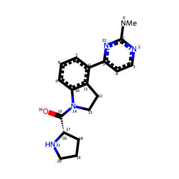 CNc1nccc(-c2cccc3c2CCN3C(=O)[C@@H]2CCCN2)n1